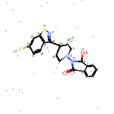 Cl.O=C1c2ccccc2C(O)N1N1CCC(c2nsc3cc(F)ccc23)CC1